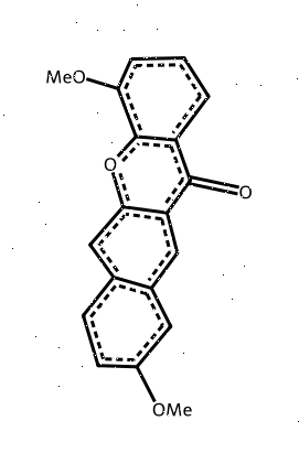 COc1ccc2cc3oc4c(OC)cccc4c(=O)c3cc2c1